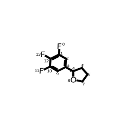 Fc1cc([C]2CCCO2)cc(F)c1F